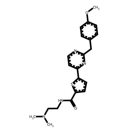 COc1ccc(Cc2nccc(-c3ccc(C(=O)NCCN(C)C)s3)n2)cc1